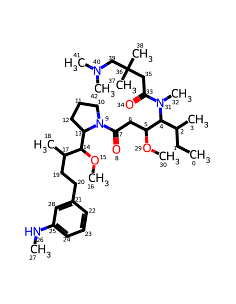 CCC(C)C(C(CC(=O)N1CCCC1C(OC)C(C)CCc1cccc(NC)c1)OC)N(C)C(=O)CC(C)(C)CN(C)C